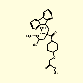 CC(C)(C)OC(=O)COC1CCN(C(=O)C(CC2c3ccccc3-c3ccccc32)(CC(NC(=O)O)C(C)(C)C)NC(=O)O)CC1